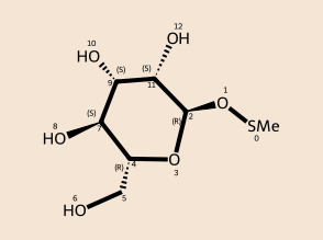 CSO[C@H]1O[C@H](CO)[C@@H](O)[C@H](O)[C@@H]1O